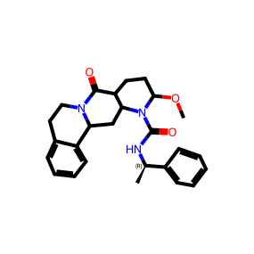 COC1CCC2C(=O)N3CCc4ccccc4C3CC2N1C(=O)N[C@H](C)c1ccccc1